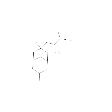 CC1CC2CC(C1)CC(C)(C[C@@H](O)[C@@H](C)C(=O)O)C2